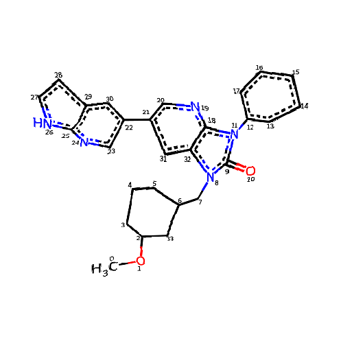 COC1CCCC(Cn2c(=O)n(-c3ccccc3)c3ncc(-c4cnc5[nH]ccc5c4)cc32)C1